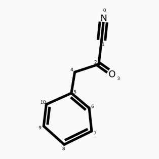 N#CC(=O)Cc1ccccc1